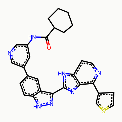 O=C(Nc1cncc(-c2ccc3[nH]nc(-c4nc5c(-c6ccsc6)nccc5[nH]4)c3c2)c1)C1CCCCC1